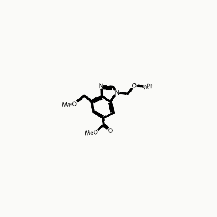 CCCOCn1cnc2c(COC)cc(C(=O)OC)cc21